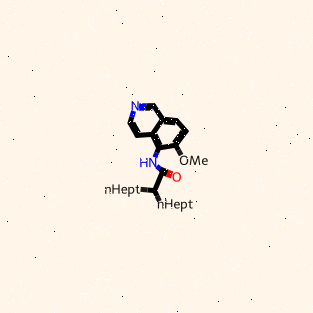 CCCCCCCC(CCCCCCC)C(=O)Nc1c(OC)ccc2cnccc12